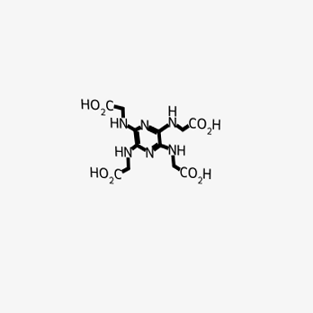 O=C(O)CNc1nc(NCC(=O)O)c(NCC(=O)O)nc1NCC(=O)O